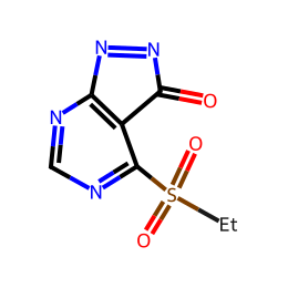 CCS(=O)(=O)c1ncnc2c1C(=O)N=N2